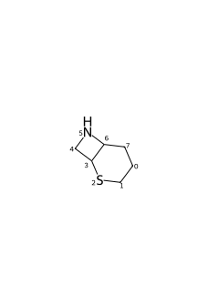 C1CSC2CNC2C1